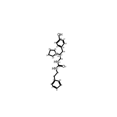 O=C(NCCc1ccccc1)NC[C@H](Cc1ccc(O)cc1)N1CCCC1